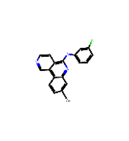 CC(=O)c1ccc2c(c1)nc(Nc1cccc(Cl)c1)c1ccncc12